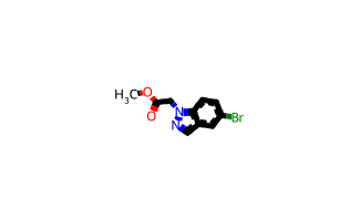 COC(=O)Cn1ncc2cc(Br)ccc21